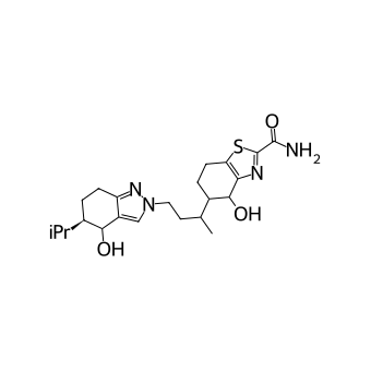 CC(CCn1cc2c(n1)CC[C@H](C(C)C)C2O)C1CCc2sc(C(N)=O)nc2C1O